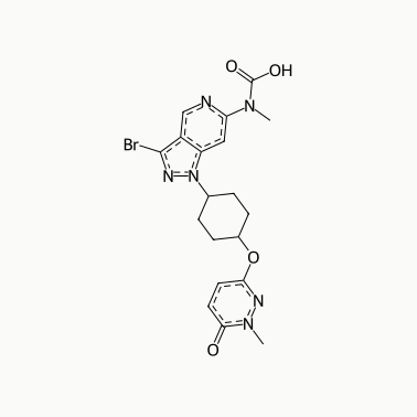 CN(C(=O)O)c1cc2c(cn1)c(Br)nn2C1CCC(Oc2ccc(=O)n(C)n2)CC1